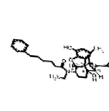 Cc1cc(O)c2c3c1C[C@H]1N(C4CC4)CC[C@@]34[C@@H](O2)[C@@H](N(CN)C(=O)CCCCCc2ccccc2)CC[C@@]14O